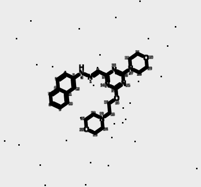 C(=N\Nc1ccc2ccccc2c1)/c1nc(OCCN2CCOCC2)nc(N2CCOCC2)n1